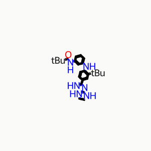 CC(C)(C)C(=O)Nc1cccc(Nc2ccc(C(=N)N=C3NCCN3)cc2C(C)(C)C)c1